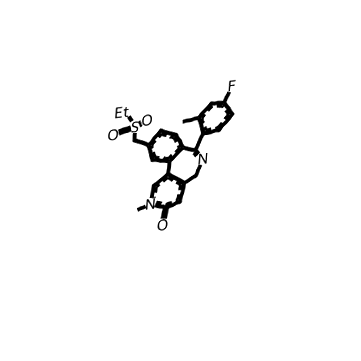 CCS(=O)(=O)Cc1ccc2c(c1)-c1cn(C)c(=O)cc1CN=C2c1ccc(F)cc1C